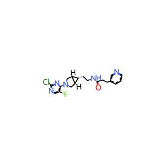 O=C(CCc1cccnc1)NCC[C@@H]1[C@H]2CN(c3nc(Cl)ncc3F)C[C@@H]12